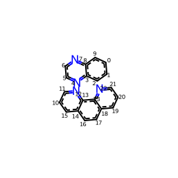 c1ccc2nccnc2c1.c1cnc2c(c1)ccc1cccnc12